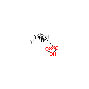 C=C(C)C(=O)OCC(CCC[C@H]1CC[C@@]2(C)[C@@H](CC[C@@H]3[C@@H]2CC[C@]2(C)[C@@H]([C@H](C)CCCC(C)C)CC[C@@H]32)C1)COC(=O)C(=C)CO